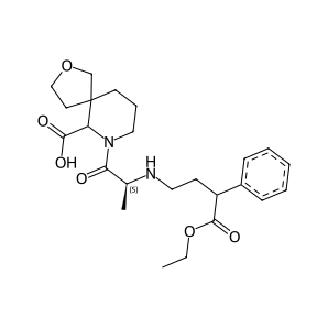 CCOC(=O)C(CCN[C@@H](C)C(=O)N1CCCC2(CCOC2)C1C(=O)O)c1ccccc1